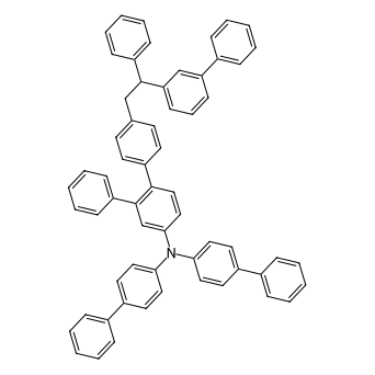 c1ccc(-c2ccc(N(c3ccc(-c4ccccc4)cc3)c3ccc(-c4ccc(CC(c5ccccc5)c5cccc(-c6ccccc6)c5)cc4)c(-c4ccccc4)c3)cc2)cc1